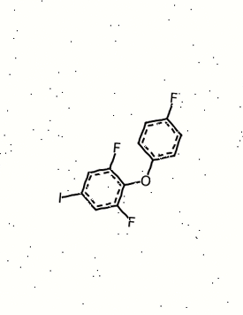 Fc1ccc(Oc2c(F)cc(I)cc2F)cc1